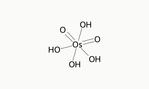 [O]=[Os](=[O])([OH])([OH])([OH])[OH]